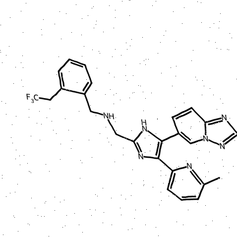 Cc1cccc(-c2nc(CNCc3ccccc3CC(F)(F)F)[nH]c2-c2ccc3ncnn3c2)n1